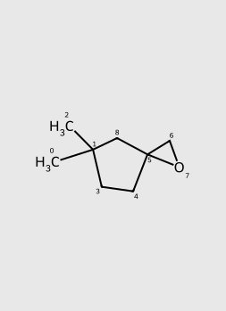 CC1(C)CCC2(CO2)C1